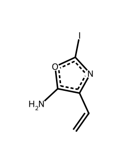 C=Cc1nc(I)oc1N